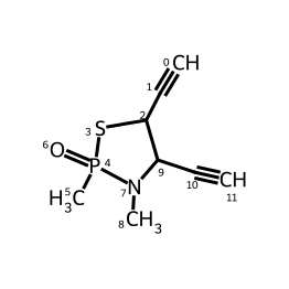 C#CC1SP(C)(=O)N(C)C1C#C